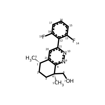 C[C@H]1CC[C@](C)(CO)c2nnc(-c3c(F)cccc3F)cc21